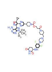 CC(C)(C)n1nc(-c2noc(C3CC3)c2-c2ncc(C3CCN(C(=O)OCCC(=O)N4CCC(CN5CCN(c6c(F)cc(NC7CCC(=O)NC7=O)cc6F)CC5)CC4)CC3)cn2)c2c(N)ncnc21